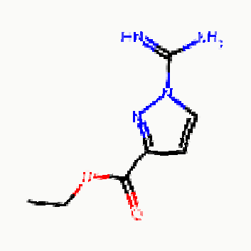 CCOC(=O)c1ccn(C(=N)N)n1